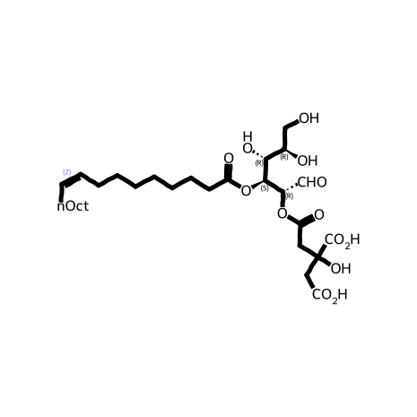 CCCCCCCC/C=C\CCCCCCCC(=O)O[C@@H]([C@H](O)[C@H](O)CO)[C@H](C=O)OC(=O)CC(O)(CC(=O)O)C(=O)O